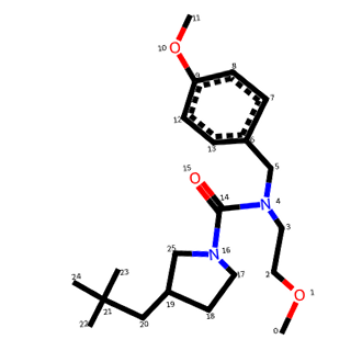 COCCN(Cc1ccc(OC)cc1)C(=O)N1CCC(CC(C)(C)C)C1